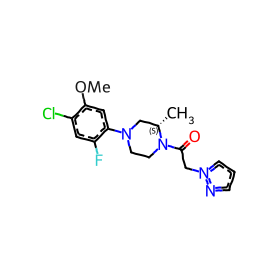 COc1cc(N2CCN(C(=O)Cn3cccn3)[C@@H](C)C2)c(F)cc1Cl